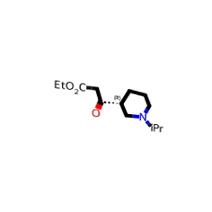 CCOC(=O)CC(=O)[C@@H]1CCCN(C(C)C)C1